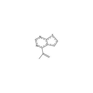 C=C(C)c1ncnc2sccc12